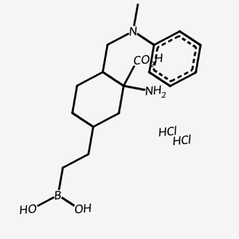 CN(CC1CCC(CCB(O)O)CC1(N)C(=O)O)c1ccccc1.Cl.Cl